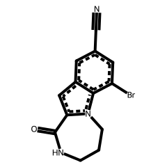 N#Cc1cc(Br)c2c(c1)cc1n2CCCNC1=O